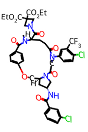 CCOC(=O)C1(C(=O)OCC)CN(C(=O)[C@@H]2CCC(=O)N(c3ccc(Cl)c(C(F)(F)F)c3)CC(=O)N3C[C@H](NC(=O)c4cccc(Cl)c4)C[C@H]3COc3ccc(cc3)C(=O)N2C)C1